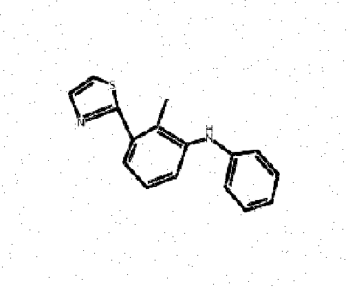 Cc1c(Nc2ccccc2)cccc1-c1nccs1